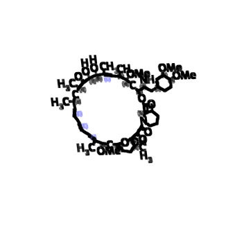 CO[C@H]1C[C@@H]2CC[C@@H](C)[C@@](O)(O2)C(=O)C(=O)N2CCCC[C@H]2C(=O)O[C@H]([C@H](N)C[C@@H]2CC[C@@H](OC)[C@H](OC)C2)C[C@@H](OC)[C@H](C)/C=C(\C)[C@@H](O)[C@@H](O)C(=O)[C@H](C)C[C@H](C)/C=C/C=C/C=C/1C